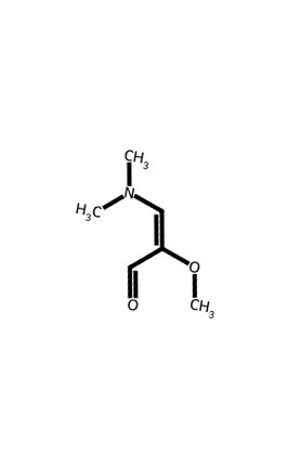 CO/C(C=O)=C/N(C)C